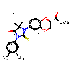 COC(=O)[C@@H]1COc2cc(N3C(=S)N(c4ccc(C#N)c(C(F)(F)F)c4)C(=O)C3(C)C)ccc2O1